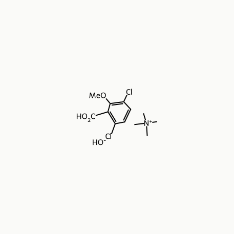 COc1c(Cl)ccc(Cl)c1C(=O)O.C[N+](C)(C)C.[OH-]